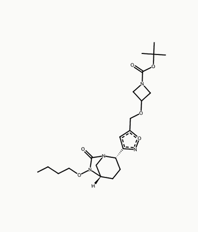 CCCCON1C(=O)N2C[C@@H]1CC[C@H]2c1cc(COC2CN(C(=O)OC(C)(C)C)C2)on1